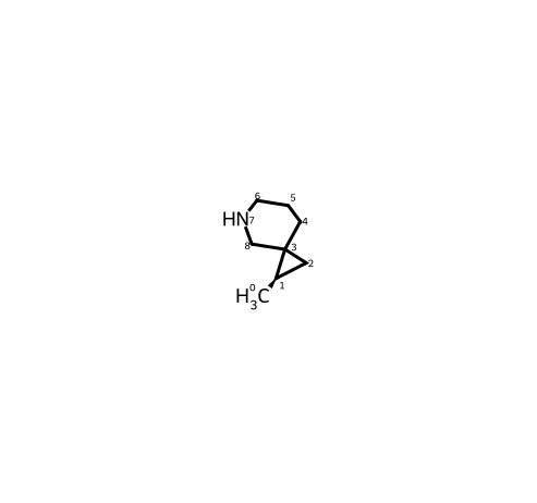 C[C@@H]1CC12CCCNC2